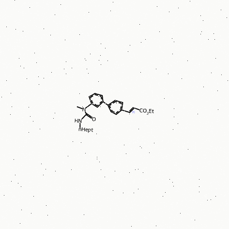 CCCCCCCNC(=O)N(C)c1cccc(-c2ccc(/C=C/C(=O)OCC)cc2)c1